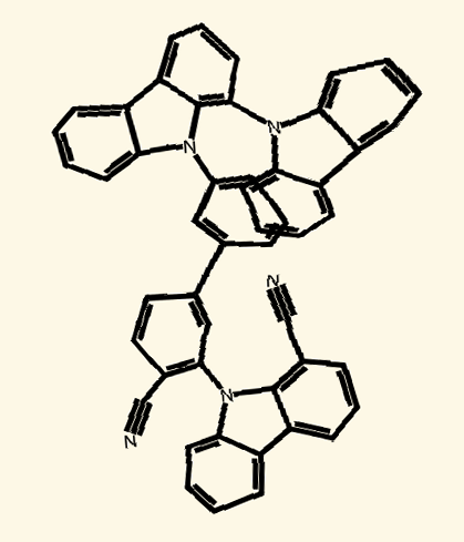 N#Cc1ccc(-c2cccc(-n3c4ccccc4c4cccc(-n5c6ccccc6c6ccccc65)c43)c2)cc1-n1c2ccccc2c2cccc(C#N)c21